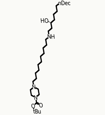 CCCCCCCCCCCCCC[C@@H](O)CCNCCCCCCCCCCCN1CCN(C(=O)OC(C)(C)C)CC1